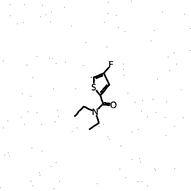 CCN(CC)C(=O)c1cc(F)[c]s1